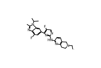 [CH2]CN1CCc2nc(Nc3ncc(F)c(-c4cc(F)c5nc(C)n(C(C)C)c5c4)n3)ccc2C1